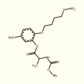 CC(NC(=O)OC(C)(C)C)C(=O)Oc1cc(C=O)ccc1OCCCCO[N+](=O)[O-]